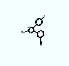 Cc1nc(-c2cc(C#N)ccn2)c(-c2ccc(F)cc2)[nH]1